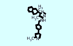 Cc1cc(-c2ccc(CNc3ncnc(C4(C)C=c5ccccc5=CC4)c3C)cc2)ccn1